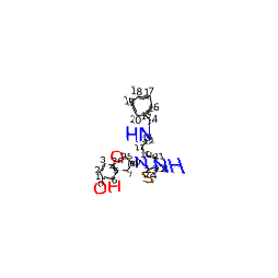 Oc1ccc2c(c1)C[C@@H](n1c(CCNCc3ccccc3)c[nH]c1=S)CO2